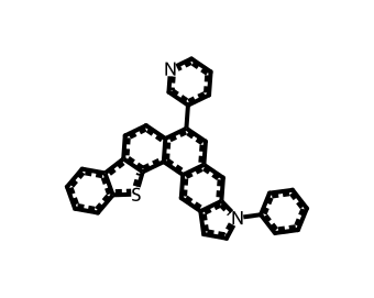 c1ccc(-n2ccc3cc4c(cc(-c5cccnc5)c5ccc6c7ccccc7sc6c54)cc32)cc1